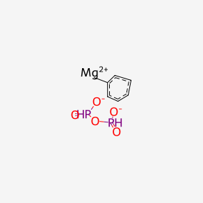 Cc1ccccc1.O=[PH]([O-])O[PH](=O)[O-].[Mg+2]